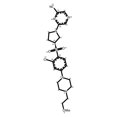 COCCN1CCN(c2ccc(S(=O)(=O)[C@H]3CCN(c4cncc(C#N)n4)C3)c(Cl)c2)CC1